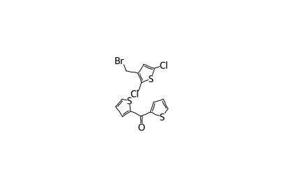 Clc1cc(CBr)c(Cl)s1.O=C(c1cccs1)c1cccs1